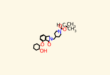 CC(C)(C)OC(=O)N1CCC(CN2Cc3cccc(O[C@H]4CCCC[C@@H]4O)c3C2=O)CC1